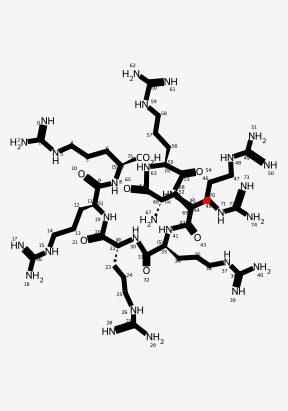 N=C(N)NCCC[C@H](NC(=O)[C@H](CCCNC(=N)N)NC(=O)[C@@H](CCCNC(=N)N)NC(=O)[C@H](CCCNC(=N)N)NC(=O)[C@@H](CCCNC(=N)N)NC(=O)[C@H](CCCNC(=N)N)NC(=O)[C@@H](N)CCCNC(=N)N)C(=O)O